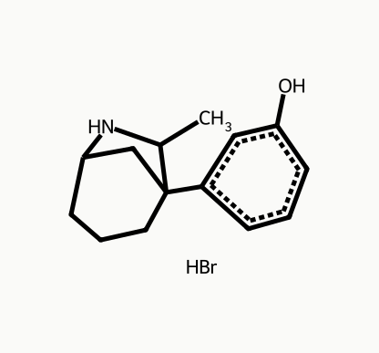 Br.CC1NC2CCCC1(c1cccc(O)c1)C2